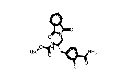 CC(C)(C)OC(=O)N[C@@H](Cc1ccc(C(N)=O)c(Cl)c1)CN1C(=O)c2ccccc2C1=O